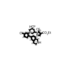 CCOC(=O)c1cnn(C2CCCN(c3cc(Cl)ccc3-c3ccc4c(c3)CCNC4)C2)c1C(F)(F)F.Cl